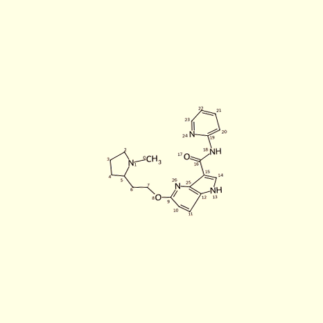 CN1CCCC1CCOc1ccc2[nH]cc(C(=O)Nc3ccccn3)c2n1